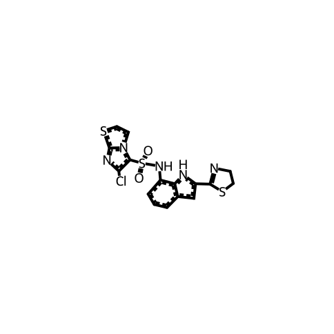 O=S(=O)(Nc1cccc2cc(C3=NCCS3)[nH]c12)c1c(Cl)nc2sccn12